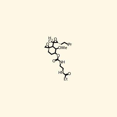 CCC(=O)NCCNC(=O)OC1CC[C@]2(CO2)C(C2(C)O[C@@H]2CCC(C)C)C1OC